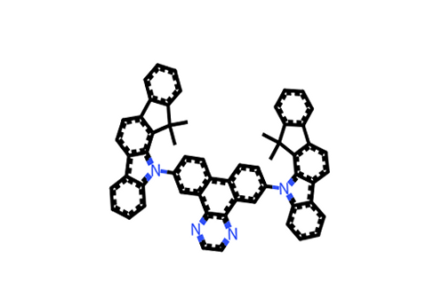 CC1(C)c2ccccc2-c2ccc3c4ccccc4n(-c4ccc5c6ccc(-n7c8ccccc8c8ccc9c(c87)C(C)(C)c7ccccc7-9)cc6c6nccnc6c5c4)c3c21